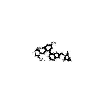 Cc1cc(C#N)cc(-c2ncnc3cc(CN4C(=O)C5CC5C4=O)sc23)c1CN1CCNCC1C